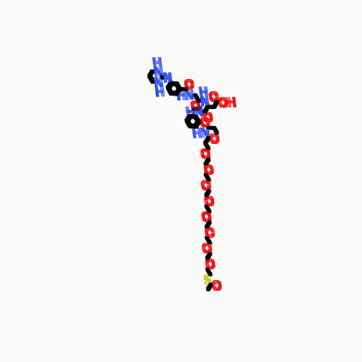 CCC(NC(=O)CCOCCOCCOCCOCCOCCOCCOCCOCCSC(C)=O)Oc1ccccc1NC(=O)C(CC(=O)O)NC(=O)CNC(=O)c1cccc(N=C2NC=CCN2)c1